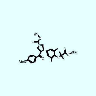 CSc1ccc(C(=O)C2CN(C(=O)OC(C)C)C[C@@H]2c2cc(C)c(OC(C)(C)C(=O)OC(C)(C)C)c(C)c2)cc1